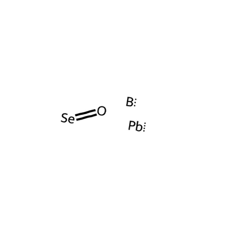 O=[Se].[B].[Pb]